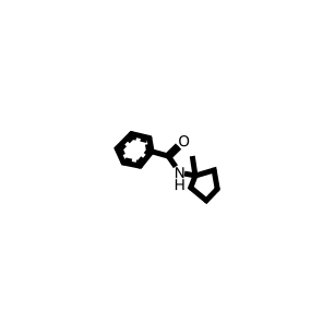 CC1(NC(=O)c2ccccc2)CCCC1